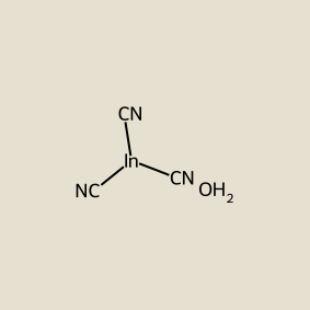 N#[C][In]([C]#N)[C]#N.O